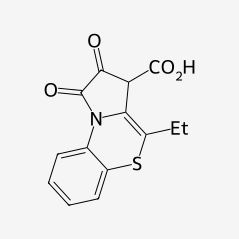 CCC1=C2C(C(=O)O)C(=O)C(=O)N2c2ccccc2S1